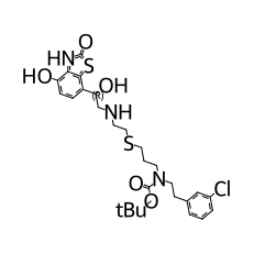 CC(C)(C)OC(=O)N(CCCSCCNC[C@H](O)c1ccc(O)c2[nH]c(=O)sc12)CCc1cccc(Cl)c1